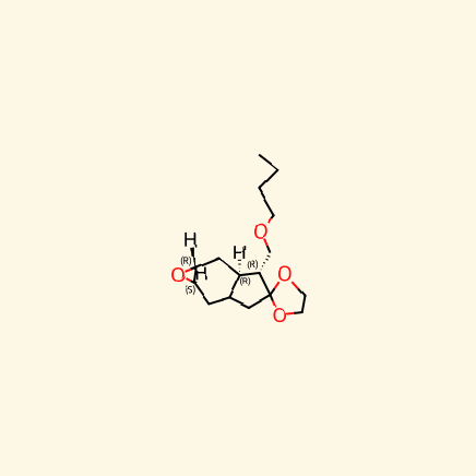 CCCCOC[C@H]1[C@@H]2C[C@H]3O[C@H]3CC2CC12OCCO2